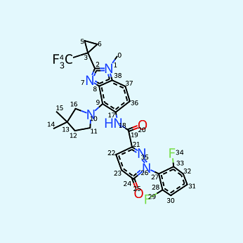 Cn1c(C2(C(F)(F)F)CC2)nc2c(N3CCC(C)(C)C3)c(NC(=O)c3ccc(=O)n(-c4c(F)cccc4F)n3)ccc21